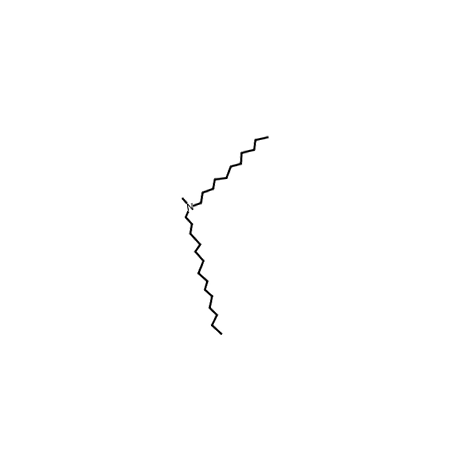 CCCCCCCCCCCCCCN(C)CCCCCCCCCCC